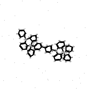 c1ccc(N2c3ccccc3[Si](c3ccccc3)(c3ccc(-c4ccc(N5c6ccccc6[Si](c6ccccc6)(c6ccccc6)c6ccccc65)cc4)cc3)c3ccccc32)cc1